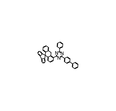 c1ccc(-c2ccc(-c3nc(-c4ccccc4)nc(-c4cccc5c4Cc4ccccc4C54c5ccccc5-c5ccccc54)n3)cc2)cc1